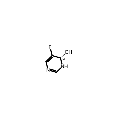 O[C@@H]1NC=NC=C1F